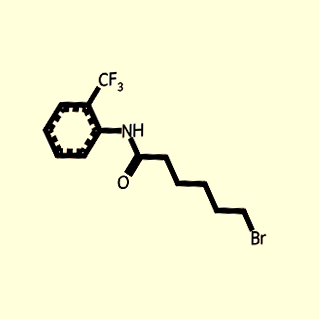 O=C(CCCCCBr)Nc1ccccc1C(F)(F)F